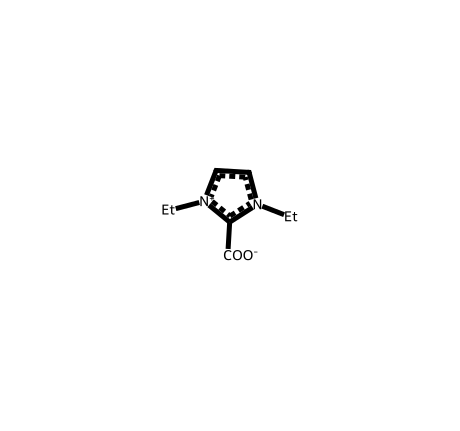 CCn1cc[n+](CC)c1C(=O)[O-]